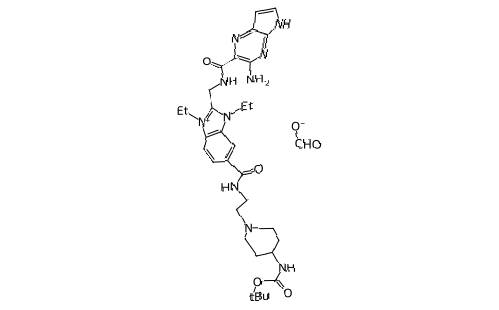 CCn1c(CNC(=O)c2nc3cc[nH]c3nc2N)[n+](CC)c2ccc(C(=O)NCCN3CCC(NC(=O)OC(C)(C)C)CC3)cc21.O=C[O-]